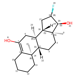 C[C@]12CC[C@H]3[C@@H](CC(O)=C4CCCC[C@@]43C)[C@@H]1C[C@@H](F)[C@H]2O